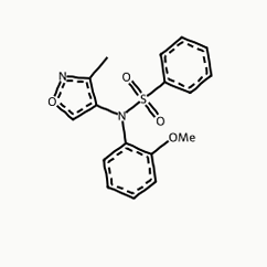 COc1ccccc1N(c1conc1C)S(=O)(=O)c1ccccc1